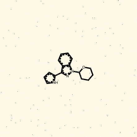 c1c[nH]c(-c2nn(C3CCCCO3)c3ccccc23)c1